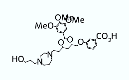 COc1cc(C(=O)OC(CCCOc2cccc(C(=O)O)c2)CCN2CCCN(CCCO)CC2)cc(OC)c1OC